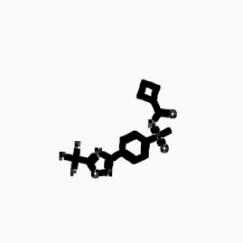 CS(=O)(=NC(=O)C1CCC1)c1ccc(-c2noc(C(F)(F)F)n2)cc1